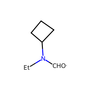 CCN([C]=O)C1CCC1